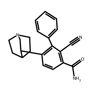 N#Cc1c(C(N)=O)ccc(C2CN3CCC2CC3)c1-c1ccccc1